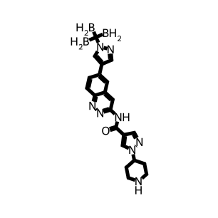 BC(B)(B)n1cc(-c2ccc3nnc(NC(=O)c4cnn(C5CCNCC5)c4)cc3c2)cn1